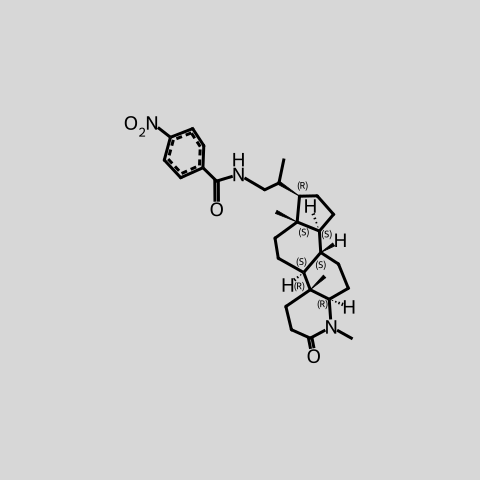 CC(CNC(=O)c1ccc([N+](=O)[O-])cc1)[C@H]1CC[C@H]2[C@@H]3CC[C@H]4N(C)C(=O)CC[C@]4(C)[C@H]3CC[C@]12C